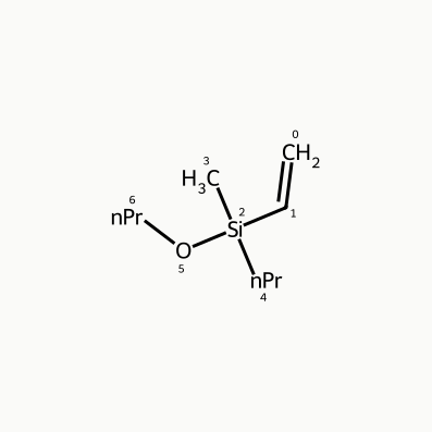 C=C[Si](C)(CCC)OCCC